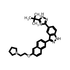 CC(C)(C)c1nc(-c2ccc3[nH]nc(-c4ccc5cc(OCCN6CCCC6)ccc5c4)c3c2)n[nH]1